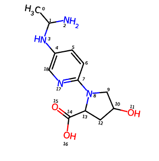 CC(N)Nc1ccc(N2CC(O)CC2C(=O)O)nc1